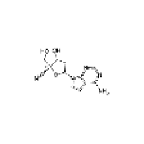 N#C[C@]1(CO)OC(n2ccc3c(N)ncnc32)CC1O